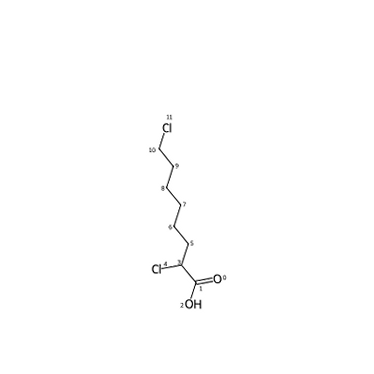 O=C(O)C(Cl)CCCCCCCl